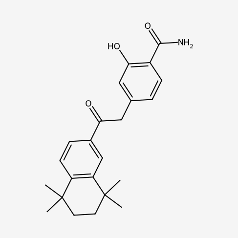 CC1(C)CCC(C)(C)c2cc(C(=O)Cc3ccc(C(N)=O)c(O)c3)ccc21